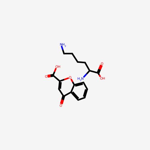 NCCCCC(N)C(=O)O.O=C(O)c1cc(=O)c2ccccc2o1